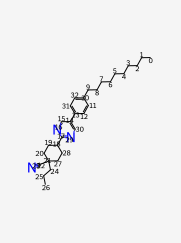 CCCCCCCCCCc1ccc(-c2cnc(C3CCC(C#N)(CCC)CC3)nc2)cc1